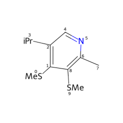 CSc1c(C(C)C)cnc(C)c1SC